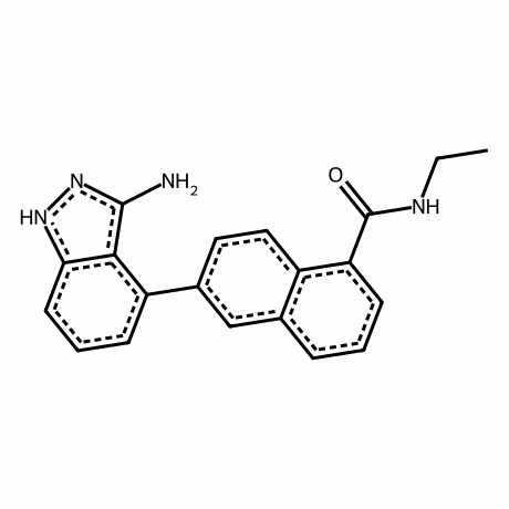 CCNC(=O)c1cccc2cc(-c3cccc4[nH]nc(N)c34)ccc12